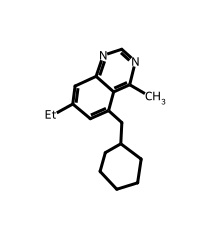 CCc1cc(CC2CCCCC2)c2c(C)ncnc2c1